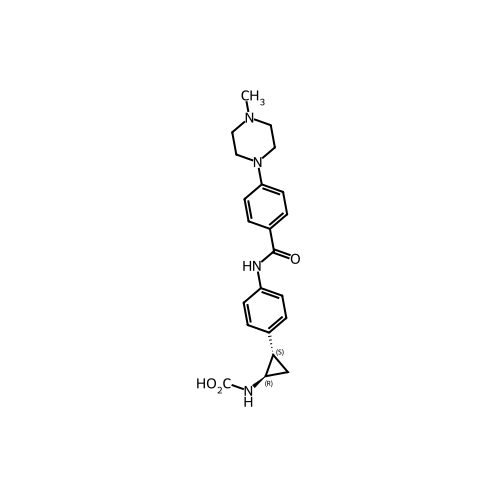 CN1CCN(c2ccc(C(=O)Nc3ccc([C@@H]4C[C@H]4NC(=O)O)cc3)cc2)CC1